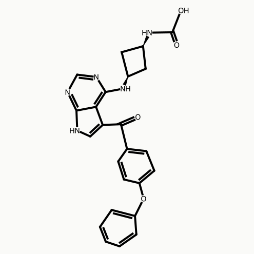 O=C(O)N[C@H]1C[C@@H](Nc2ncnc3[nH]cc(C(=O)c4ccc(Oc5ccccc5)cc4)c23)C1